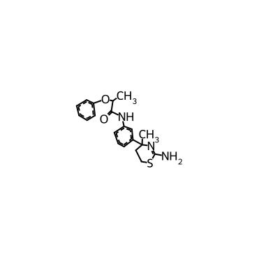 CC(Oc1ccccc1)C(=O)Nc1cccc(C2(C)CCSC(N)=N2)c1